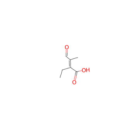 CCC(C(=O)O)=C(C)C=O